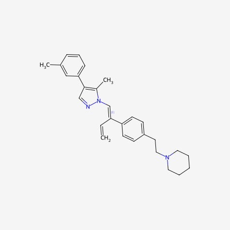 C=C/C(=C\n1ncc(-c2cccc(C)c2)c1C)c1ccc(CCN2CCCCC2)cc1